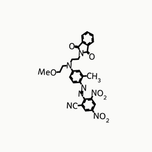 COCCN(CCN1C(=O)c2ccccc2C1=O)c1ccc(/N=N/c2c(C#N)cc([N+](=O)[O-])cc2[N+](=O)[O-])c(C)c1